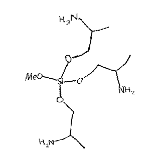 CO[Si](OCC(C)N)(OCC(C)N)OCC(C)N